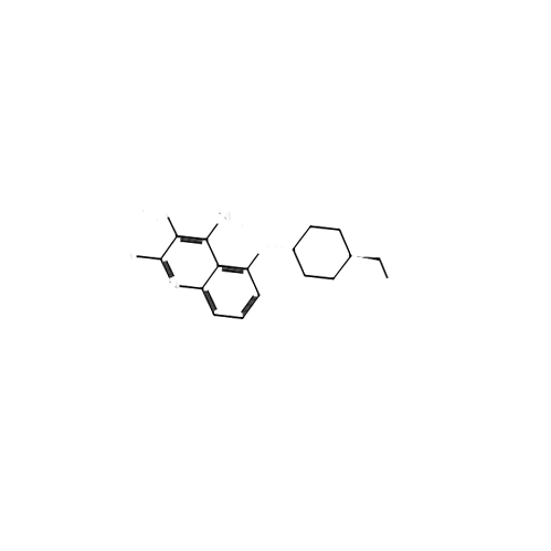 CCc1nc2cccc(O[C@H]3CC[C@H](CO)CC3)c2c(N)c1C(=O)O